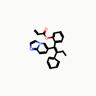 C=CC(=O)Oc1ccccc1/C(=C(\CC)c1ccccc1)c1ccc2nccn2c1